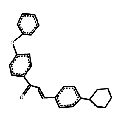 O=C(/C=C/c1ccc(C2CCCCC2)cc1)c1ccc(Oc2ccccc2)cc1